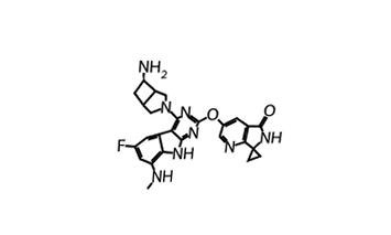 CNc1cc(F)cc2c1[nH]c1nc(Oc3cnc4c(c3)C(=O)NC43CC3)nc(N3CC4C[C@@H](N)C4C3)c12